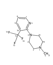 CN1CCN(c2ncccc2C(F)(F)F)CC1